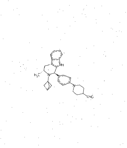 C[C@@H]1Cc2c([nH]c3ccccc23)[C@@H](c2ccc(N3CCC(C=O)CC3)cc2)N1C12CC(C1)C2